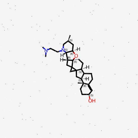 C[C@H]1C[C@H]2O[C@@]34CC[C@H]5C6CCC7=C[C@@H](O)CC[C@]7(C)[C@H]6CC56CC63C[C@@H]4[C@@H]2N(CCN(C)C)C1